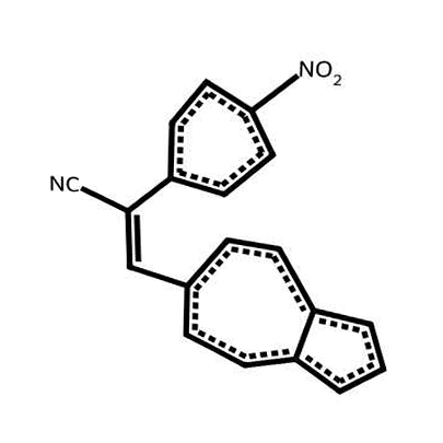 N#CC(=Cc1ccc2cccc-2cc1)c1ccc([N+](=O)[O-])cc1